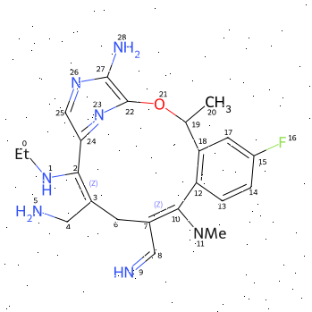 CCN/C1=C(\CN)C/C(C=N)=C(/NC)c2ccc(F)cc2C(C)Oc2nc1cnc2N